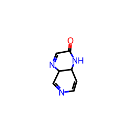 O=C1C=NC2C=NC=CC2N1